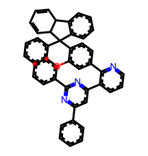 C1=CC2c3ccccc3C3(c4ccccc4Oc4cc(-c5ncccc5-c5cc(-c6ccccc6)nc(-c6ccccc6)n5)ccc43)C2C=C1